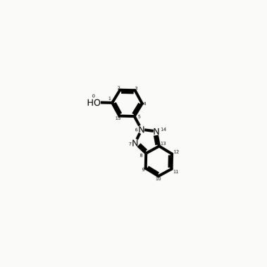 Oc1cccc(-n2nc3ccccc3n2)c1